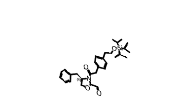 CC(C)[Si](OCCc1ccc(CC(=O)N2C(C=O)OC[C@H]2Cc2ccccc2)cc1)(C(C)C)C(C)C